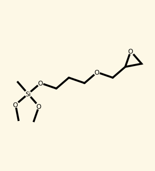 CO[Si](C)(OC)OCCCOCC1CO1